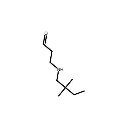 CCC(C)(C)CNCCC=O